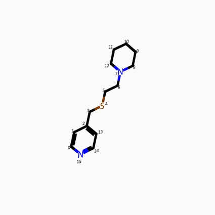 c1cc(CSCCN2CCCCC2)ccn1